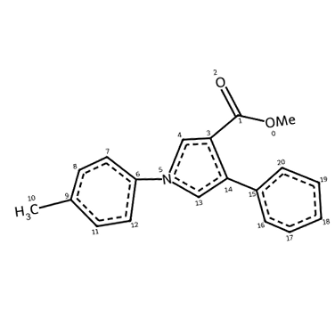 COC(=O)c1cn(-c2ccc(C)cc2)cc1-c1ccccc1